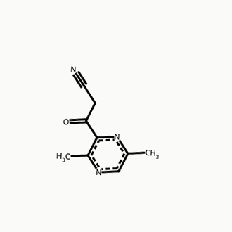 Cc1cnc(C)c(C(=O)CC#N)n1